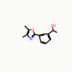 [CH2]c1nc(-c2cccc(C(C)O)c2)oc1C